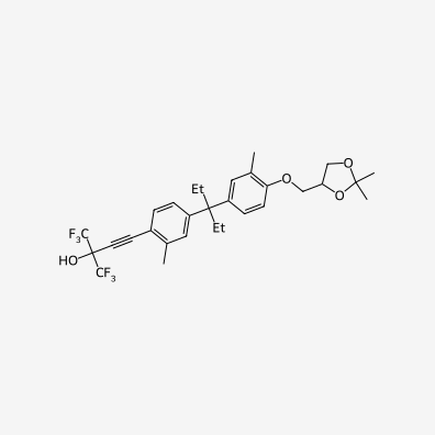 CCC(CC)(c1ccc(C#CC(O)(C(F)(F)F)C(F)(F)F)c(C)c1)c1ccc(OCC2COC(C)(C)O2)c(C)c1